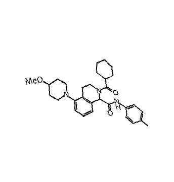 COC1CCN(c2cccc3c2CCN(C(=O)C2CCCCC2)C3C(=O)Nc2ccc(C)cc2)CC1